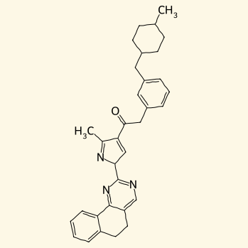 CC1=NC(c2ncc3c(n2)-c2ccccc2CC3)C=C1C(=O)Cc1cccc(CC2CCC(C)CC2)c1